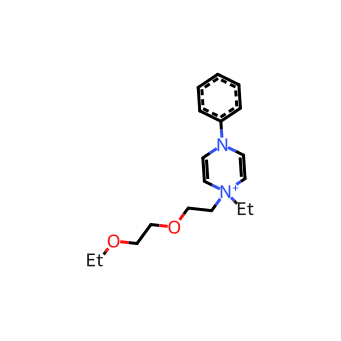 CCOCCOCC[N+]1(CC)C=CN(c2ccccc2)C=C1